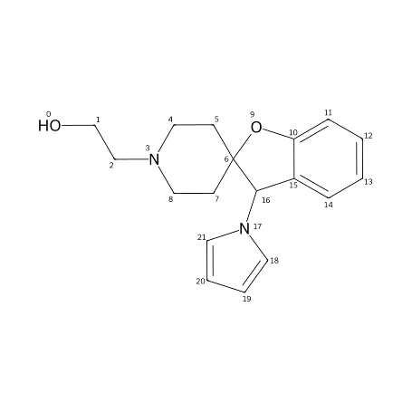 OCCN1CCC2(CC1)Oc1ccccc1C2n1cccc1